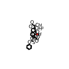 C[C@@H]1C(=O)OC2CC34C5C[C@@H](C(C)(C)C)C36[C@@H](OC(=O)[C@@H]6OC(=S)Oc3ccccc3)OC4(C(=O)O5)[C@]21O